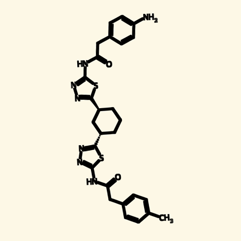 Cc1ccc(CC(=O)Nc2nnc([C@H]3CCC[C@H](c4nnc(NC(=O)Cc5ccc(N)cc5)s4)C3)s2)cc1